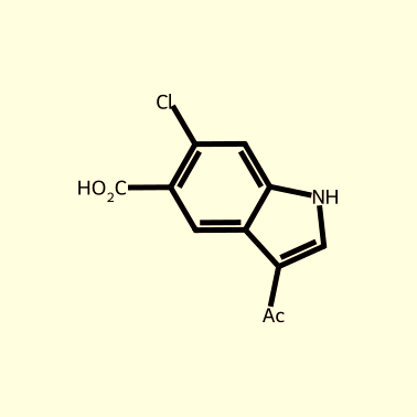 CC(=O)c1c[nH]c2cc(Cl)c(C(=O)O)cc12